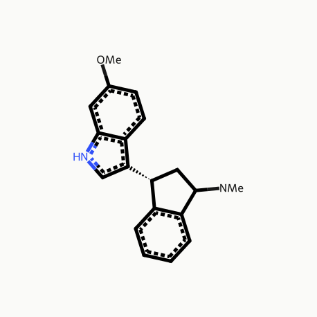 CNC1C[C@@H](c2c[nH]c3cc(OC)ccc23)c2ccccc21